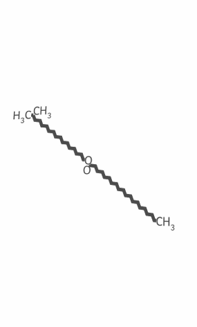 CCCCCCCCCCCCCCCCCCCC(=O)OCCCCCCCCCCCCCCCC(C)C